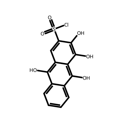 O=S(=O)(Cl)c1cc2c(O)c3ccccc3c(O)c2c(O)c1O